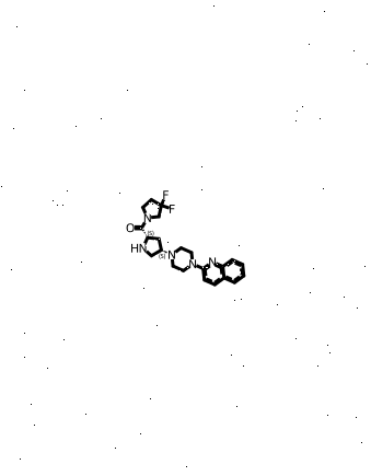 O=C([C@@H]1C[C@H](N2CCN(c3ccc4ccccc4n3)CC2)CN1)N1CCC(F)(F)C1